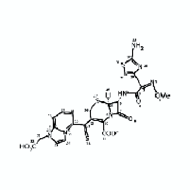 CO/N=C(\C(=O)N[C@@H]1C(=O)N2C(C(=O)[O-])=C(C(=S)c3cccc4n(CC(=O)O)cc[n+]34)CS[C@@H]12)c1nsc(N)n1